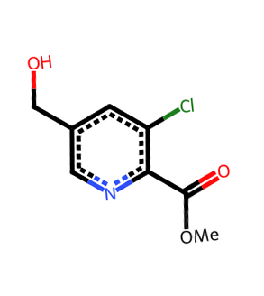 COC(=O)c1ncc(CO)cc1Cl